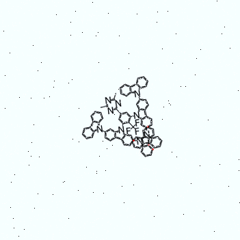 Cc1nc(C)nc(-c2cc(-n3c4cc(-n5c6ccccc6c6ccccc65)ccc4c4ccc(-n5c6ccccc6c6ccccc65)cc43)c(C(F)(F)F)c(-n3c4cc(-n5c6ccccc6c6ccccc65)ccc4c4ccc(-n5c6ccccc6c6ccccc65)cc43)c2)n1